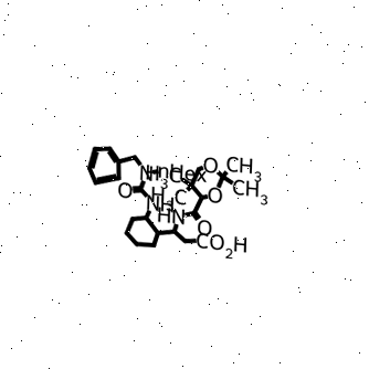 CCCCCCN(Cc1ccccc1)C(=O)NC1CCCCC1C(CC(=O)O)NC(=O)C1OC(C)(C)OCC1(C)C